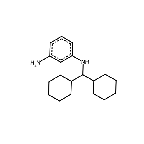 Nc1cccc(NC(C2CCCCC2)C2CCCCC2)c1